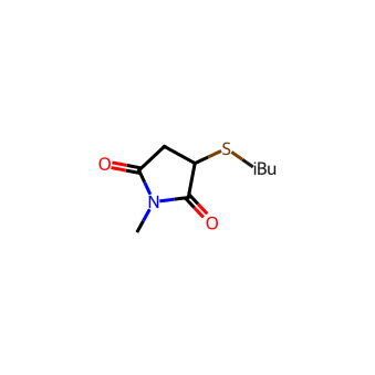 CCC(C)SC1CC(=O)N(C)C1=O